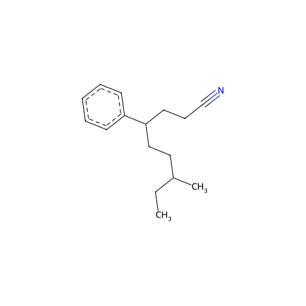 CCC(C)CCC(CCC#N)c1ccccc1